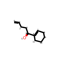 C=CCCC(=O)C1=CCCCC1